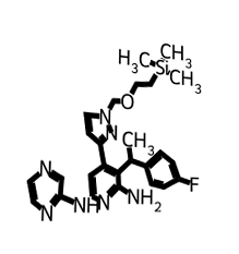 CC(c1ccc(F)cc1)c1c(-c2ccn(COCC[Si](C)(C)C)n2)cc(Nc2cnccn2)nc1N